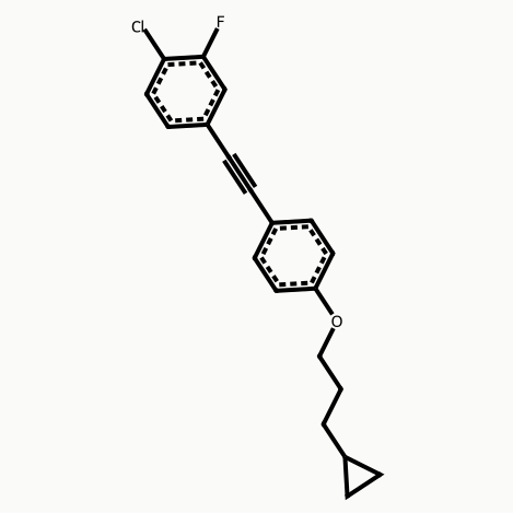 Fc1cc(C#Cc2ccc(OCCCC3CC3)cc2)ccc1Cl